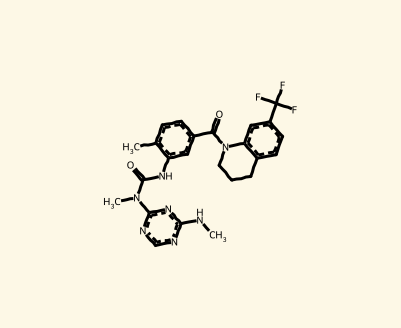 CNc1ncnc(N(C)C(=O)Nc2cc(C(=O)N3CCCc4ccc(C(F)(F)F)cc43)ccc2C)n1